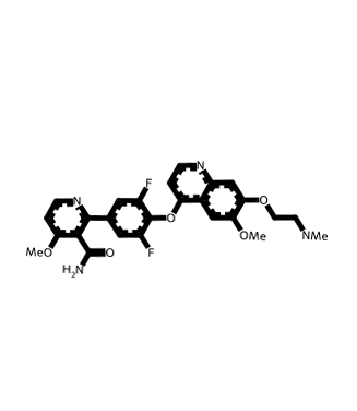 CNCCOc1cc2nccc(Oc3c(F)cc(-c4nccc(OC)c4C(N)=O)cc3F)c2cc1OC